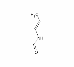 CC=CNC=O